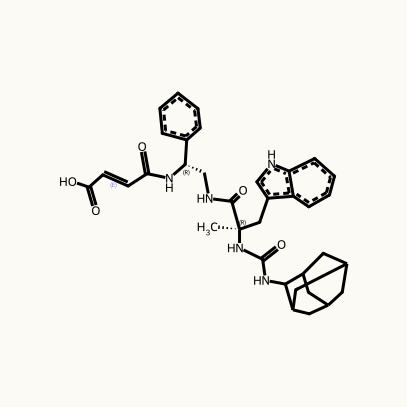 C[C@](Cc1c[nH]c2ccccc12)(NC(=O)NC1C2CC3CC(C2)CC1C3)C(=O)NC[C@H](NC(=O)/C=C/C(=O)O)c1ccccc1